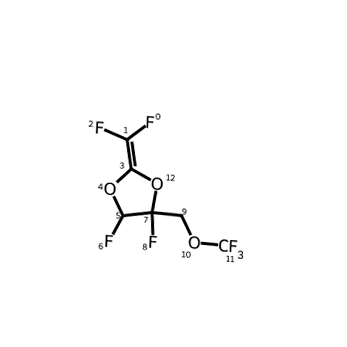 FC(F)=C1OC(F)C(F)(COC(F)(F)F)O1